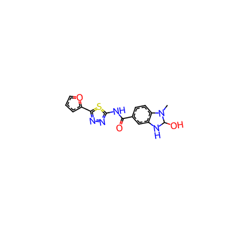 CN1c2ccc(C(=O)Nc3nnc(-c4ccco4)s3)cc2NC1O